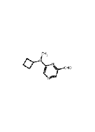 CN(c1cncc(C=O)n1)C1CCC1